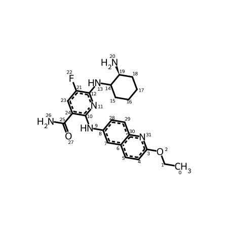 CCOc1ccc2cc(Nc3nc(NC4CCCC[C@@H]4N)c(F)cc3C(N)=O)ccc2n1